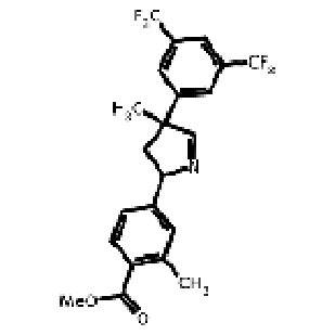 COC(=O)c1ccc(C2CC(C)(c3cc(C(F)(F)F)cc(C(F)(F)F)c3)C=N2)cc1C